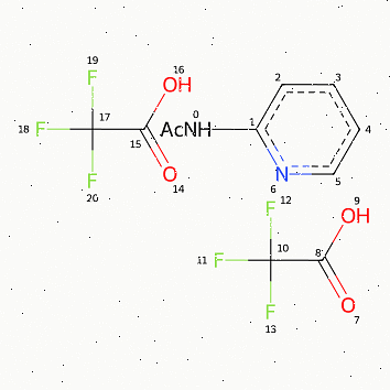 CC(=O)Nc1ccccn1.O=C(O)C(F)(F)F.O=C(O)C(F)(F)F